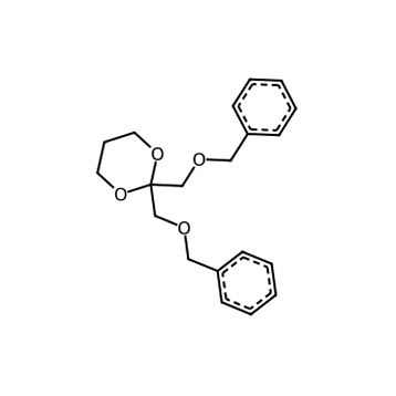 c1ccc(COCC2(COCc3ccccc3)OCCCO2)cc1